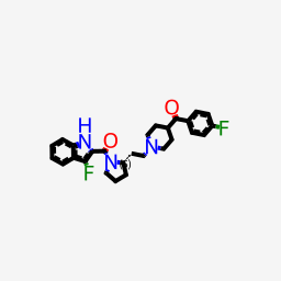 O=C(c1ccc(F)cc1)C1CCN(CC[C@@H]2CCCN2C(=O)c2[nH]c3ccccc3c2F)CC1